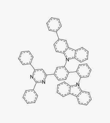 c1ccc(-c2ccc3c(c2)c2ccccc2n3-c2cc(-c3cc(-c4ccccc4)nc(-c4ccccc4)n3)ccc2-c2ccccc2-n2c3ccccc3c3ccccc32)cc1